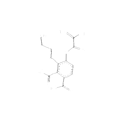 C=C(C)C(=O)Oc1ccc(C(=O)O)c(C(=O)O)c1CCCC